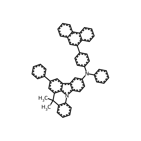 CC1(C)c2ccccc2-n2c3ccc(N(c4ccccc4)c4ccc(-c5cc6ccccc6c6ccccc56)cc4)cc3c3cc(-c4ccccc4)cc1c32